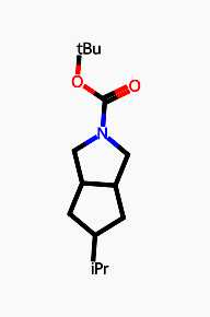 CC(C)C1CC2CN(C(=O)OC(C)(C)C)CC2C1